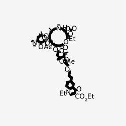 CCOC(=O)c1cn(CC)c2ccc(C=CCOCCO[C@H]3[C@H](C)O[C@@H](O[C@H]4[C@H](C)[C@@H](O[C@@H]5O[C@H](C)C[C@H](N(C)C)[C@H]5OC(C)=O)[C@](C)(O)C[C@@H](C)CN(C)[C@H](C)[C@H]5OC(=O)O[C@]5(C)[C@@H](CC)OC(=O)[C@@H]4C)C[C@@]3(C)OC)cc2c1=O